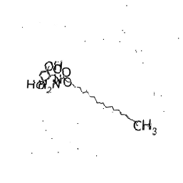 CCCCCCCCCCCCCCCCCCOC(=O)N(N)C(=O)c1cc(O)ccc1O